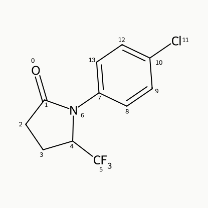 O=C1CCC(C(F)(F)F)N1c1ccc(Cl)cc1